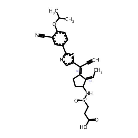 C#C/C(=C1/CCC(N[S+]([O-])CCC(=O)O)/C1=C/C)c1cnc(-c2ccc(OC(C)C)c(C#N)c2)s1